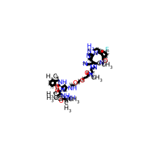 CC[C@H](NC(=O)[C@H]1C[C@@H](NCCOCCOCCC(=O)N(C)CCn2nc3c(c2C#N)-c2cnc(N)c(c2)N2CCC[C@@H]2c2cc(F)ccc2C(=O)N(C)C3)CN1C(=O)C(NC(=O)[C@@H](C)NC)C(C)(C)C)c1ccccc1